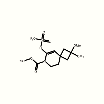 COC1(OC)CC2(C=C(OS(=O)(=O)C(F)(F)F)N(C(=O)OC(C)(C)C)CC2)C1